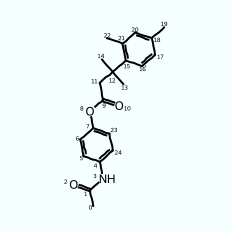 CC(=O)Nc1ccc(OC(=O)CC(C)(C)c2[c]cc(C)cc2C)cc1